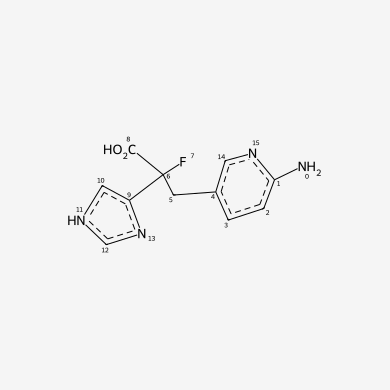 Nc1ccc(CC(F)(C(=O)O)c2c[nH]cn2)cn1